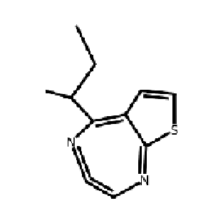 CCC(C)C1=c2ccsc2=NC=C=N1